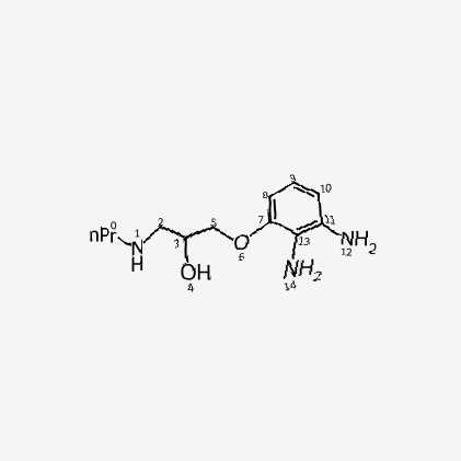 CCCNCC(O)COc1cccc(N)c1N